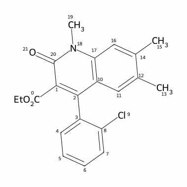 CCOC(=O)c1c(-c2ccccc2Cl)c2cc(C)c(C)cc2n(C)c1=O